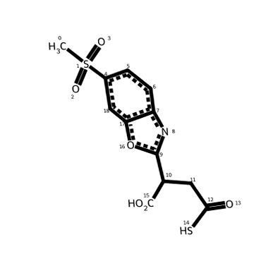 CS(=O)(=O)c1ccc2nc(C(CC(=O)S)C(=O)O)oc2c1